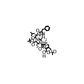 CCN(C(=S)C(NC(=O)[C@H](CC(C)C)NC(=O)[C@@H](N)Cc1ccccc1)C(=O)OC(C)(C)C)[C@@H]1C(=O)N2C(C(=O)O)=C(COC(C)=O)CS[C@@H]12